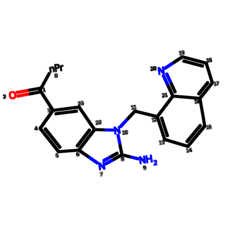 CCCC(=O)c1ccc2nc(N)n(Cc3cccc4cccnc34)c2c1